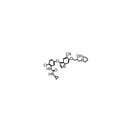 N#Cc1cc2c(Oc3ccc(Cl)c(NC(=O)NC4CC4)c3)ccnc2cc1OC[C@@H](O)CN1CCCC1